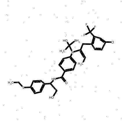 BC(C)(O)N(/C(=C\C)Cc1ccc(Cl)cc1C(F)(F)F)c1ccc(C(=O)NC(CO)c2ccc(SCC)cc2)cc1